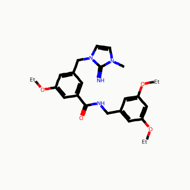 CCOc1cc(CNC(=O)c2cc(Cn3ccn(C)c3=N)cc(OCC)c2)cc(OCC)c1